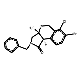 C[C@]12CN(Cc3ccccc3)C(=O)[C@@H]1c1ccc(Br)c(Cl)c1CO2